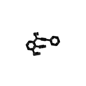 COc1cccc(C(O)C#Cc2ccccc2)c1OC